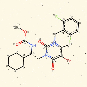 Cc1c(Br)c(=O)n(C[C@@H](NC(=O)OC(C)(C)C)C2CCCCC2)c(=O)n1Cc1c(F)cccc1F